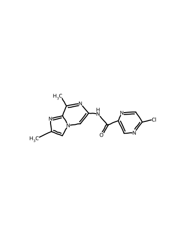 Cc1cn2cc(NC(=O)c3cnc(Cl)cn3)nc(C)c2n1